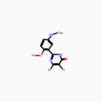 CCCOc1ccc(NC=O)cc1-c1nc(CC)c(CC)c(=O)[nH]1